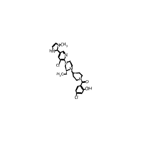 CC[C@H]1CN(c2ncc(C3NC=CN3C)cc2Cl)CCN1C1CCN(C(=O)c2ccc(Cl)cc2O)CC1